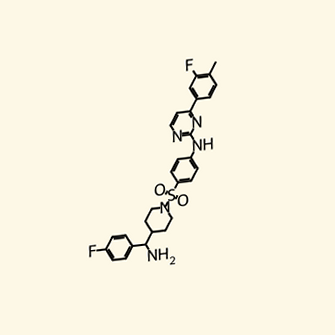 Cc1ccc(-c2ccnc(Nc3ccc(S(=O)(=O)N4CCC(C(N)c5ccc(F)cc5)CC4)cc3)n2)cc1F